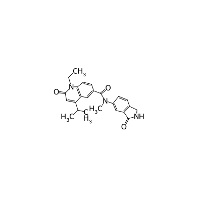 CCn1c(=O)cc(C(C)C)c2cc(C(=O)N(C)c3ccc4c(c3)C(=O)NC4)ccc21